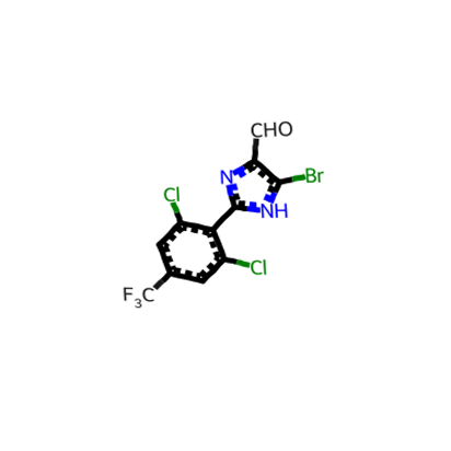 O=Cc1nc(-c2c(Cl)cc(C(F)(F)F)cc2Cl)[nH]c1Br